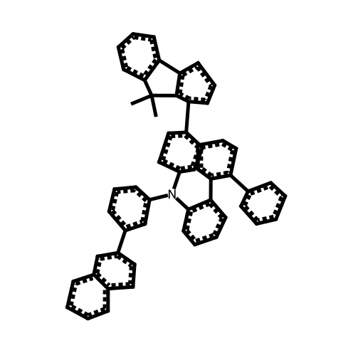 CC1(C)c2ccccc2-c2cccc(-c3ccc(N(c4cccc(-c5ccc6ccccc6c5)c4)c4ccccc4-c4ccccc4-c4ccccc4)cc3)c21